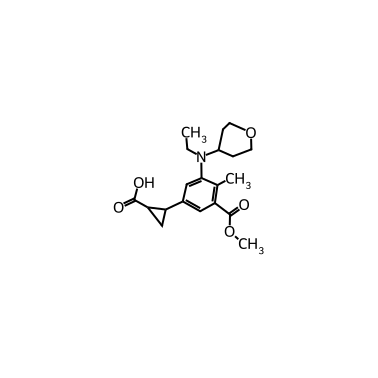 CCN(c1cc(C2CC2C(=O)O)cc(C(=O)OC)c1C)C1CCOCC1